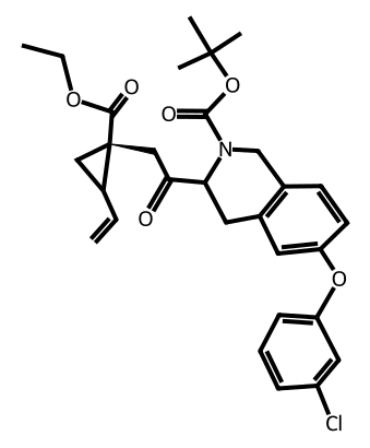 C=CC1C[C@]1(CC(=O)C1Cc2cc(Oc3cccc(Cl)c3)ccc2CN1C(=O)OC(C)(C)C)C(=O)OCC